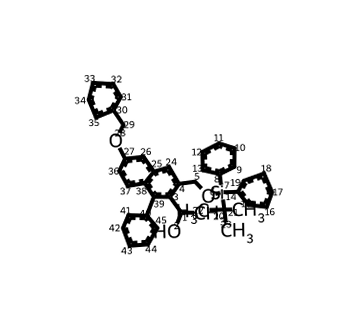 CC(O)c1c(CO[Si](c2ccccc2)(c2ccccc2)C(C)(C)C)cc2cc(OCc3ccccc3)ccc2c1-c1ccccc1